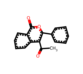 CC(=O)c1c(-c2ccccc2)oc(=O)c2ccccc12